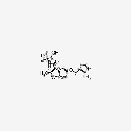 Cc1ncsc1COc1cc2c(C(=O)NC3(CO)COC3)c(C)oc2cn1